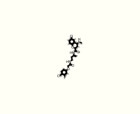 C=C(CCNC(=O)COc1ccc(Cl)c(F)c1)NC(=O)C1CC(NC)c2cc(Cl)ccc2O1